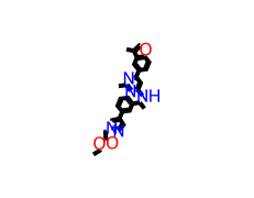 CCOC(=O)Cn1cc(-c2cccc(C(C)Nc3cc(-c4ccc5occ(C)c5c4)nc(C)n3)c2)cn1